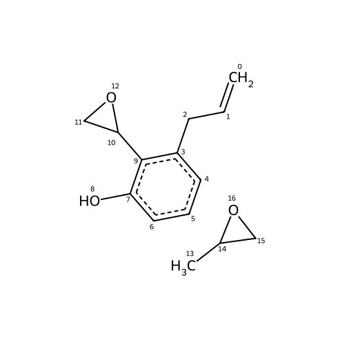 C=CCc1cccc(O)c1C1CO1.CC1CO1